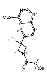 CSc1ncnc2ccc(C3(C)CN(C(=O)OC(C)(C)C)C3)cc12